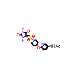 CC(=O)Nc1ccc(OC2CCN(S(=O)(=O)C[C@@]3(C)NC(=O)NC3=O)CC2)nc1